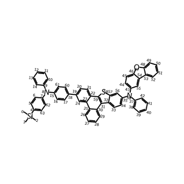 C[Si](C)(C)c1ccc(N(c2ccccc2)c2ccc(-c3ccc4c(c3)c3ccccc3c3c5ccc(N(c6ccccc6)c6ccc7oc8ccccc8c7c6)cc5sc43)cc2)cc1